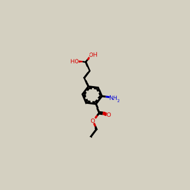 CCOC(=O)c1ccc(CCC(O)O)cc1N